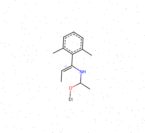 C/C=C(\NC(C)OCC)c1c(C)cccc1C